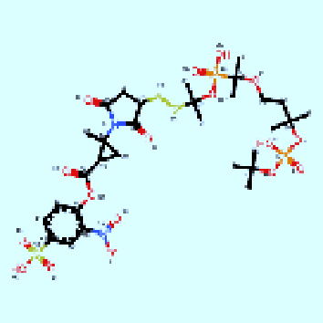 CC(C)(C)OP(=O)(O)OC(C)(C)CCOC(C)(C)P(=O)(O)OC(C)(C)SSC1CC(=O)N(C2(C)CC2C(=O)Oc2ccc(S(=O)(=O)O)cc2[N+](=O)[O-])C1=O